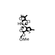 COCOC(=O)c1sc(C)cc1S(=O)(=O)Nc1onc(C)c1Cl